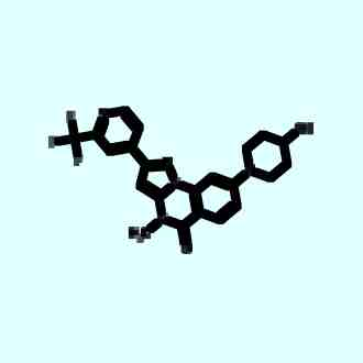 Cn1c(=O)c2ccc(N3CCC(O)CC3)cc2n2nc(-c3ccnc(C(F)(F)F)c3)cc12